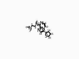 CN(C)CCN(C)c1nccn2c([C@@H]3CCCS3)cnc12